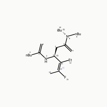 C=C(CCCC)N[C@@H](CC(=C)N(CCCC)[C@@H](C)CC)/C(CC)=C(\C)F